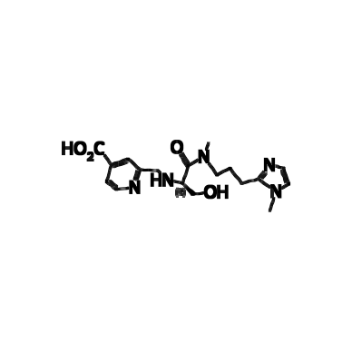 CN(CCCc1nccn1C)C(=O)[C@@H](CO)NCc1cc(C(=O)O)ccn1